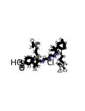 Cc1ccc2c(c1)C(C)(C)\C(=C/C=C(Cl)/C=C/C1=[N+](CCC[N+](C)(C)C)c3ccc(S(=O)O)cc3C1(C)C)N2CCC[N+](C)(C)C